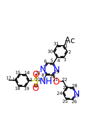 CC(=O)c1ccc(-c2cnc(NS(=O)(=O)c3ccc(C)cc3)c(OCc3cccnc3)n2)cc1